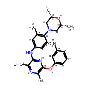 CCc1nc(C=O)c(Nc2ccc(N3C[C@@H](C)O[C@@H](C)C3)c(C)c2)nc1Oc1cccc([N+](=O)[O-])c1